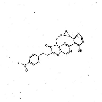 CC[S+]([O-])c1ccc(CNc2nc3cnc(-c4c(O)ncnc4C4CC4)nc3n(CC(C)C)c2=O)nc1